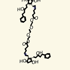 O=C(CCC/C=C\C[C@@H]1[C@@H](CC[C@@H](O)CCc2ccccc2)[C@H](O)C[C@@H]1O)OCCOCCOCCOC(=O)CCC/C=C\C[C@H]1[C@H](CC[C@H](O)CCc2ccccc2)[C@@H](O)C[C@H]1O